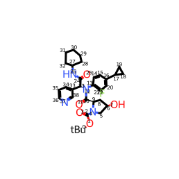 CC(C)(C)OC(=O)N1C[C@H](O)C[C@@H]1C(=O)N(c1ccc(C2CC2)cc1F)[C@@H](C(=O)NC1CCCCC1)c1cccnc1